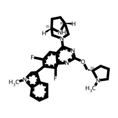 CN1CCC[C@H]1COc1nc(N2C[C@H]3CC[C@@H](C2)N3)c2cc(F)c(-c3cn(C)c4ccccc34)c(F)c2n1